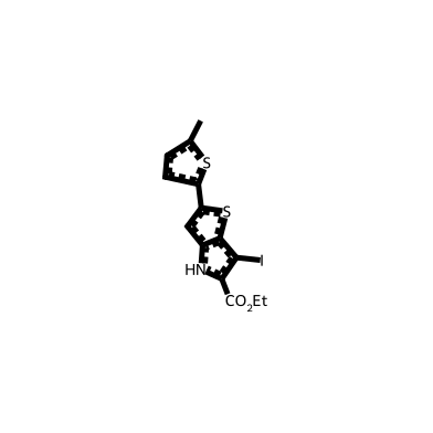 CCOC(=O)c1[nH]c2cc(-c3ccc(C)s3)sc2c1I